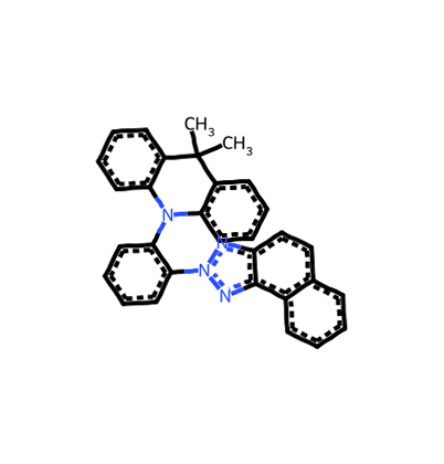 CC1(C)c2ccccc2N(c2ccccc2-n2nc3ccc4ccccc4c3n2)c2ccccc21